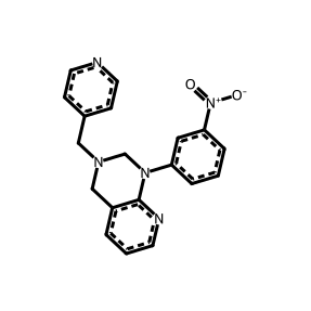 O=[N+]([O-])c1cccc(N2CN(Cc3ccncc3)Cc3cccnc32)c1